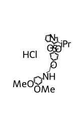 COc1ccc(NCCCOc2ccc(S(=O)(=O)c3c(C(C)C)cn4ccccc34)cc2)cc1OC.Cl